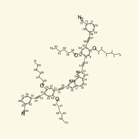 CCCCCCOc1cc(C#Cc2cc3ccc4cc(C#Cc5cc(OCCCCCC)c(C#Cc6cccc(C#N)c6)cc5OCCCCCC)sc4c3s2)c(OCCCCCC)cc1C#Cc1cccc(C#N)c1